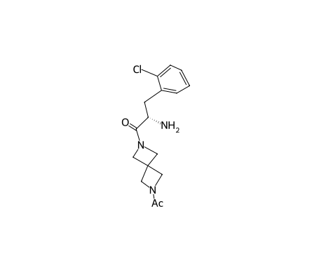 CC(=O)N1CC2(C1)CN(C(=O)[C@@H](N)Cc1ccccc1Cl)C2